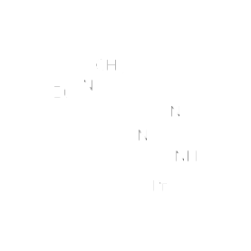 CCN(C)Cc1ccnc(NC(C)C)n1